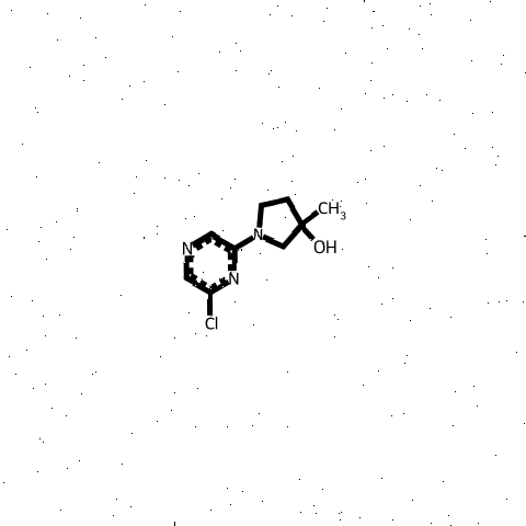 CC1(O)CCN(c2cncc(Cl)n2)C1